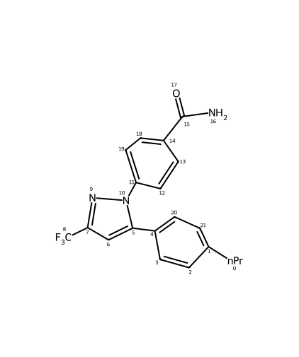 CCCc1ccc(-c2cc(C(F)(F)F)nn2-c2ccc(C(N)=O)cc2)cc1